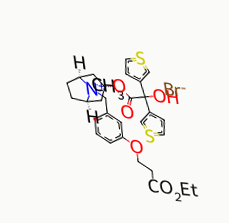 CCOC(=O)CCOc1cccc(C[N+]2(C)[C@@H]3CC[C@H]2C[C@H](OC(=O)C(O)(c2ccsc2)c2ccsc2)C3)c1.[Br-]